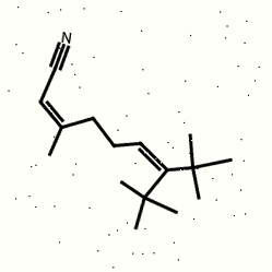 C/C(=C/C#N)CCC=C(C(C)(C)C)C(C)(C)C